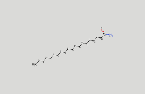 CCCCCCCCCCCCCC=CC=CC=CC(N)=O